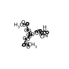 CC(=O)Oc1ccccc1CCC(=O)OCOP(=O)(COC[C@@H]1CC[C@H](n2ccc3c(NC4CCCC4)c(C#N)c(Cl)nc32)O1)OCOC(=O)CCc1ccccc1OC(C)=O